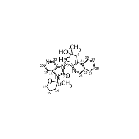 CC(C)(O)Cc1c(Cn2c(=O)n([C@@]3(C)CCCO3)c3ccncc32)ncc2ccccc12